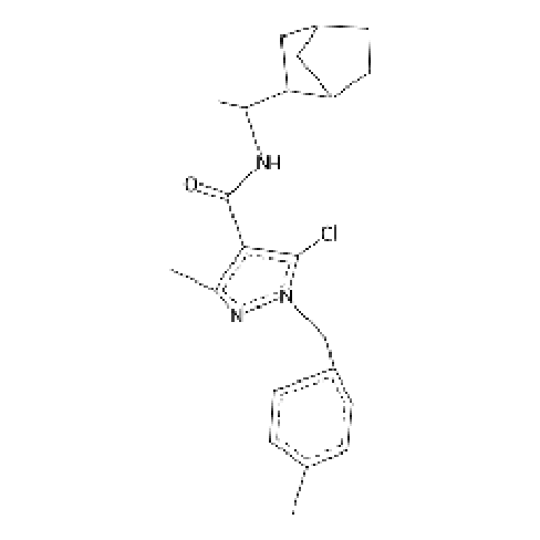 Cc1ccc(Cn2nc(C)c(C(=O)NC(C)C3CC4CCC3C4)c2Cl)cc1